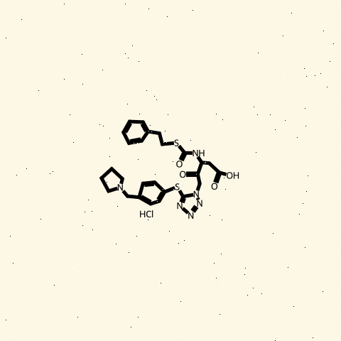 Cl.O=C(O)CC(NC(=O)SCCc1ccccc1)C(=O)Cn1nnnc1Sc1ccc(CN2CCCC2)cc1